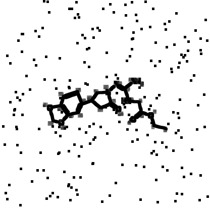 CCOC(=O)CNC(N)=NN1CC(c2ccc3c(c2)OCO3)CC1=O